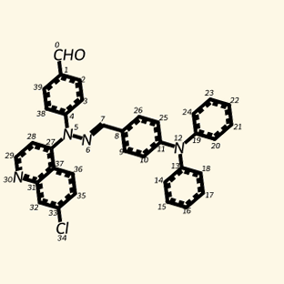 O=Cc1ccc(N(N=Cc2ccc(N(c3ccccc3)c3ccccc3)cc2)c2ccnc3cc(Cl)ccc23)cc1